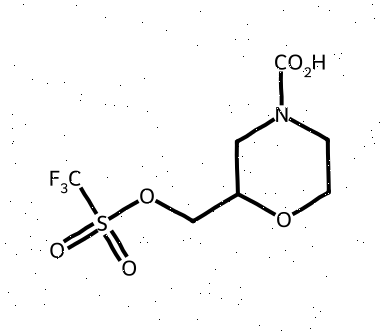 O=C(O)N1CCOC(COS(=O)(=O)C(F)(F)F)C1